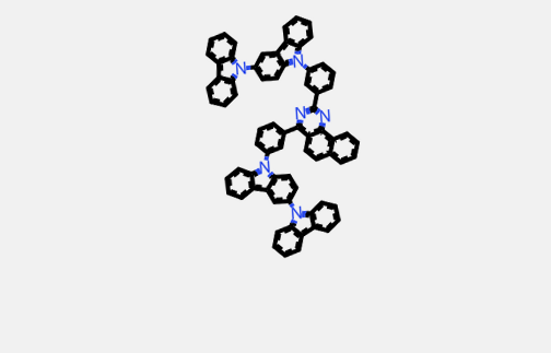 c1cc(-c2nc(-c3cccc(-n4c5ccccc5c5cc(-n6c7ccccc7c7ccccc76)ccc54)c3)c3ccc4ccccc4c3n2)cc(-n2c3ccccc3c3cc(-n4c5ccccc5c5ccccc54)ccc32)c1